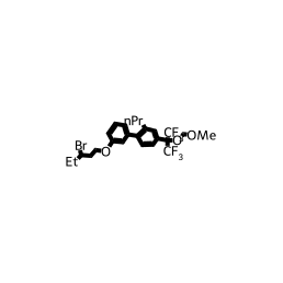 CCCc1cc(C(OCOC)(C(F)(F)F)C(F)(F)F)ccc1-c1cccc(OCCC(Br)CC)c1